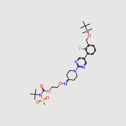 CC(C)(C)N(C(=O)OCCON=C1CCN(c2ncc(-c3cccc(CO[Si](C)(C)C(C)(C)C)c3F)cn2)CC1)S(C)(=O)=O